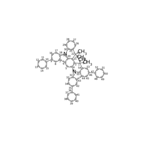 CC1(C)c2c(cc3c4cc(-c5ccccc5)ccc4n4c3c2C(C)(C)c2ccccc2-4)-n2c3ccc(-c4ccccc4)cc3c3cc(-c4ccccc4)cc1c32